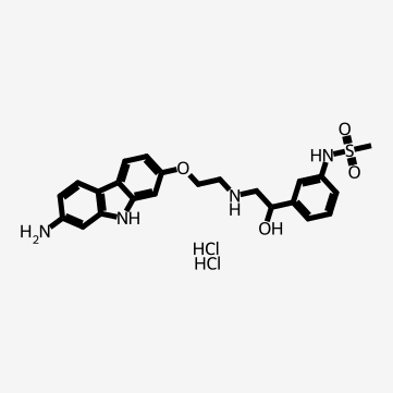 CS(=O)(=O)Nc1cccc(C(O)CNCCOc2ccc3c(c2)[nH]c2cc(N)ccc23)c1.Cl.Cl